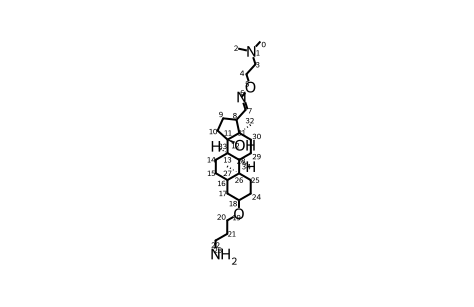 CN(C)CCON=CC1CC[C@@]2(O)[C@@H]3CCC4CC(OCCCN)CC[C@]4(C)[C@@H]3CC[C@]12C